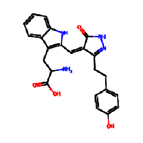 NC(Cc1c(C=C2C(=O)NN=C2CCc2ccc(O)cc2)[nH]c2ccccc12)C(=O)O